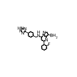 Bc1cnn2c(NCc3ccc(-c4nn[nH]n4)cc3)cc(-c3ccccc3F)nc12